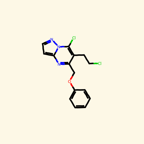 ClCCc1c(COc2ccccc2)nc2ccnn2c1Cl